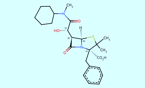 CN(C(=O)[C@@H](O)[C@@H]1C(=O)N2[C@@H]1SC(C)(C)[C@]2(Cc1ccccc1)C(=O)O)C1CCCCC1